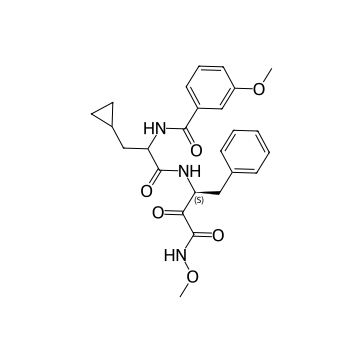 CONC(=O)C(=O)[C@H](Cc1ccccc1)NC(=O)C(CC1CC1)NC(=O)c1cccc(OC)c1